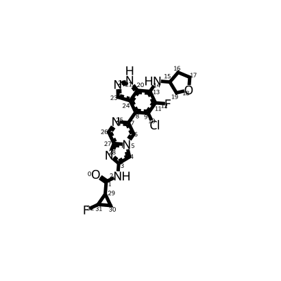 O=C(Nc1cn2cc(-c3c(Cl)c(F)c(NC4CCOC4)c4[nH]ncc34)ncc2n1)C1CC1F